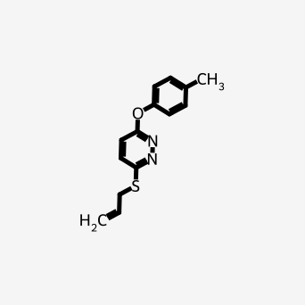 C=CCSc1ccc(Oc2ccc(C)cc2)nn1